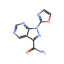 NC(=O)c1nn(-c2ncco2)c2ncncc12